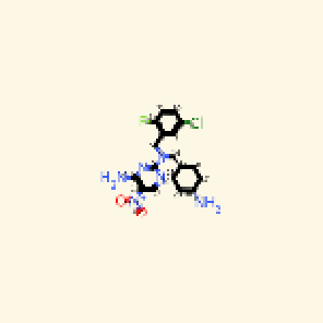 Nc1nc(N(Cc2cc(Cl)ccc2F)C[C@H]2CC[C@H](N)CC2)ncc1[N+](=O)[O-]